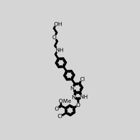 COC(=O)c1cc(Oc2nc3nc(-c4ccc(-c5ccc(CNCCOCCO)cc5)cc4)c(Cl)cc3[nH]2)ccc1Cl